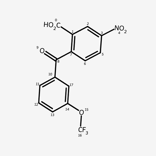 O=C(O)c1cc([N+](=O)[O-])ccc1C(=O)c1cccc(OC(F)(F)F)c1